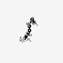 CC(C)(c1cc(NC(=O)Cc2ccc(-c3ccc(NCC[N+]4(OS(C)(=O)=O)CCOCC4)nc3)cc2)no1)C(F)(F)F